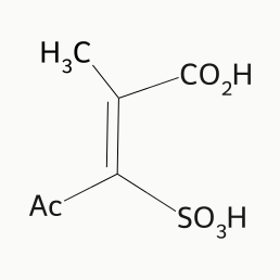 CC(=O)C(=C(C)C(=O)O)S(=O)(=O)O